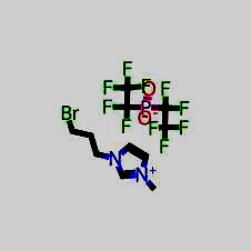 C[n+]1ccn(CCCBr)c1.O=P([O-])(C(F)(F)C(F)(F)F)C(F)(F)C(F)(F)F